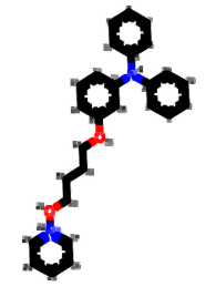 c1ccc(N(c2ccccc2)c2cccc(OCCCCO[n+]3ccccc3)c2)cc1